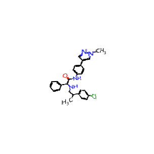 CC(CNC(C(=O)Nc1ccc(-c2cnn(C)c2)cc1)c1ccccc1)c1ccc(Cl)cc1